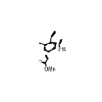 C=CC#N.C=CC(=O)OC.C=Cc1ccccc1C